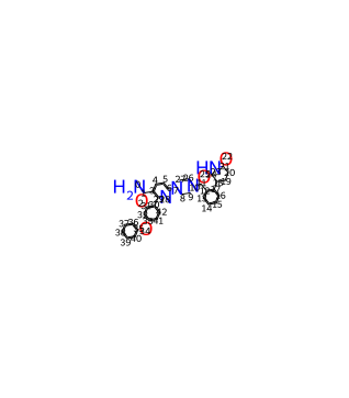 NC(=O)c1ccc(N2CCN(Cc3ccccc3C3CCC(=O)NC3=O)CC2)nc1-c1ccc(Oc2ccccc2)cc1